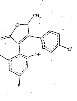 CC1OC(=O)C(c2c(F)cc(F)cc2F)=C1c1ccc(Cl)cc1